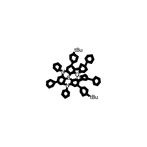 CC(C)(C)c1ccc(-c2cc3c(c4oc5ccc(-c6ccccc6)cc5c24)B2c4c(cc(-c5ccccc5)cc4N(c4ccccc4)c4cc(-c5ccc(C(C)(C)C)cc5)c5c(oc6ccc(-c7ccccc7)cc65)c42)N3c2ccccc2)cc1